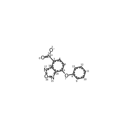 O=[N+]([O-])c1ccc(Oc2ccccc2)c2nonc12